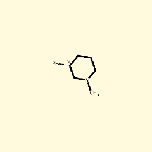 [2H][C@@H]1CCCN(C)C1